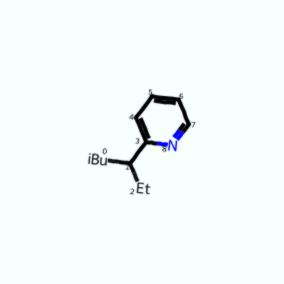 CCC(C)C(CC)c1ccccn1